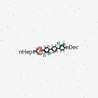 CCCCCCCCCCc1ccc(-c2ccc(-c3ccc(C4OCC(CCCCCCC)CO4)c(F)c3F)cc2)c(F)c1F